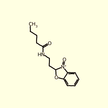 CCCCC(=O)NCCC1Oc2ccccc2[N+]1=O